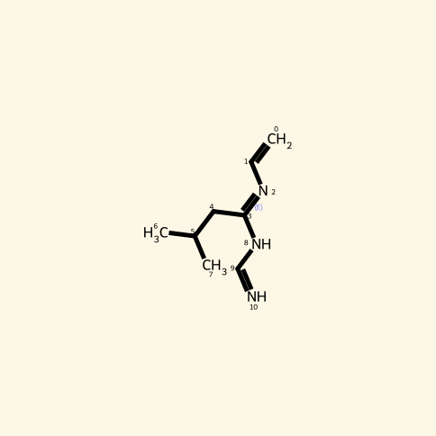 C=C/N=C(\CC(C)C)NC=N